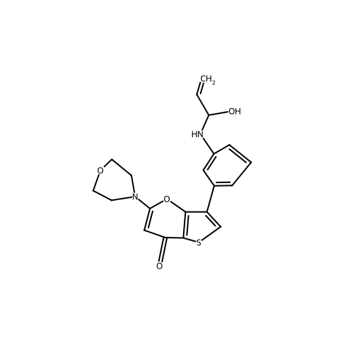 C=CC(O)Nc1cccc(-c2csc3c(=O)cc(N4CCOCC4)oc23)c1